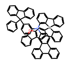 c1ccc(C2(c3cccc(N(c4ccc5c6ccccc6c6ccccc6c5c4)c4cccc5c4[Si]4(c6ccccc6-c6cc7c(cc64)oc4ccccc47)c4ccccc4-5)c3)c3ccccc3-c3ccccc32)cc1